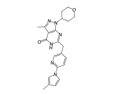 Cc1ccn(-c2ccc(Cc3nc4c(c(C)nn4C4CCOCC4)c(=O)[nH]3)cn2)c1